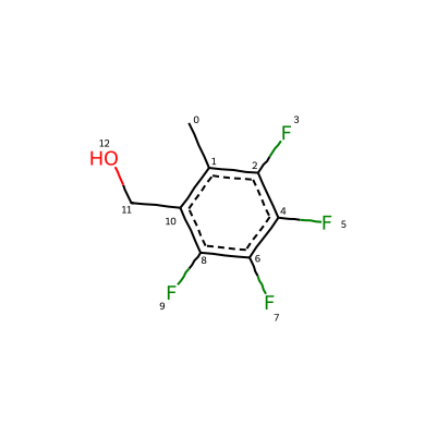 Cc1c(F)c(F)c(F)c(F)c1CO